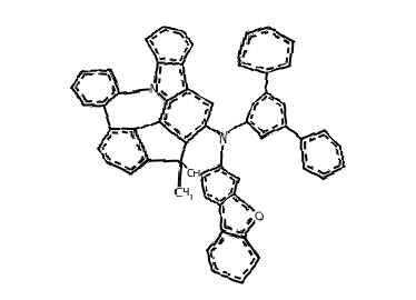 CC1(C)c2cccc3c2-c2c1c(N(c1cc(-c4ccccc4)cc(-c4ccccc4)c1)c1ccc4c(c1)oc1ccccc14)cc1c4ccccc4n(c21)-c1ccccc1-3